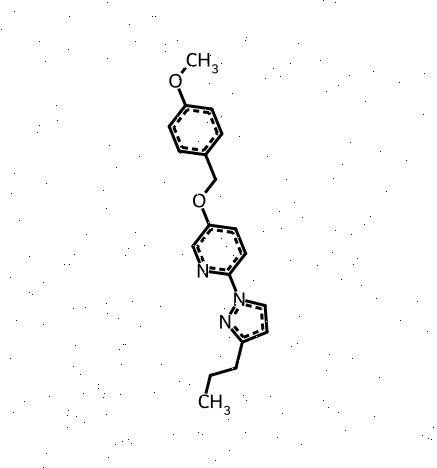 CCCc1ccn(-c2ccc(OCc3ccc(OC)cc3)cn2)n1